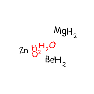 O.O.[BeH2].[MgH2].[Zn]